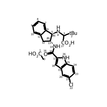 CC(=O)O.CC(C)(C)C(N[C@@H]1c2ccccc2C[C@H]1NC(=O)c1cc2cc(Cl)ccc2[nH]1)C(=O)O